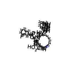 [2H]C([2H])([2H])C(OC(=O)N[C@H]1CCCCC/C=C\[C@@H]2C[C@@]2(C(=O)O)NC(=O)[C@@H]2C[C@@H](OC(=O)N3Cc4cccc(F)c4C3)CN2C1=O)(C([2H])([2H])[2H])C([2H])([2H])[2H]